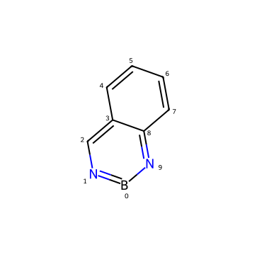 b1ncc2ccccc2n1